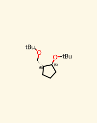 CC(C)(C)OC[C@H]1CCC[C@@H]1OC(C)(C)C